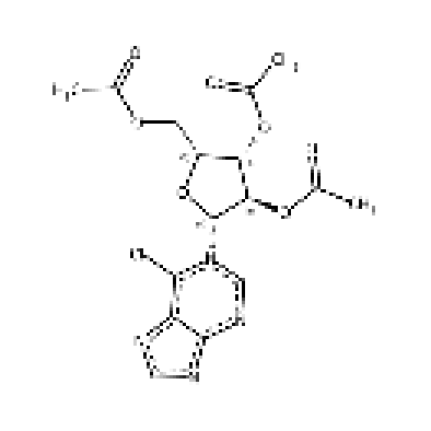 CC(=O)OC[C@H]1O[C@@H](n2cnc3ncnc-3c2Cl)[C@H](OC(C)=O)[C@H]1OC(C)=O